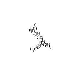 CNc1nc(N2CCN(C)CC2)nc(N2CCc3cc(C(=O)NCc4ccc(Cl)cc4C(F)(F)F)ccc32)n1